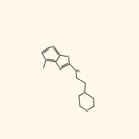 Cc1cccc2sc(NCCN3CCOCC3)nc12